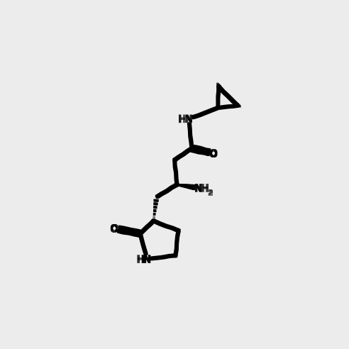 N[C@H](CC(=O)NC1CC1)C[C@@H]1CCNC1=O